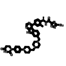 Cc1cc(-c2ncnc3[nH]c4cc(CN5CCN(CC6CCN(c7ccc(N8CCC(=O)NC8=O)cc7)CC6)CC5)ccc4c23)ccc1[C@@H](C)NC(=O)c1nc(C(C)(C)C)no1